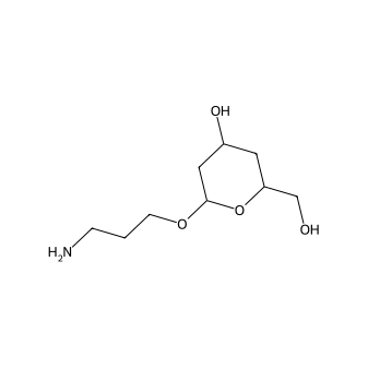 NCCCOC1CC(O)CC(CO)O1